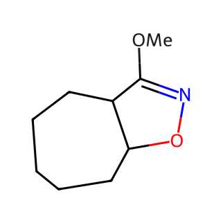 COC1=NOC2CCCCCC12